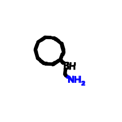 NCBC1CCCCCCCCC1